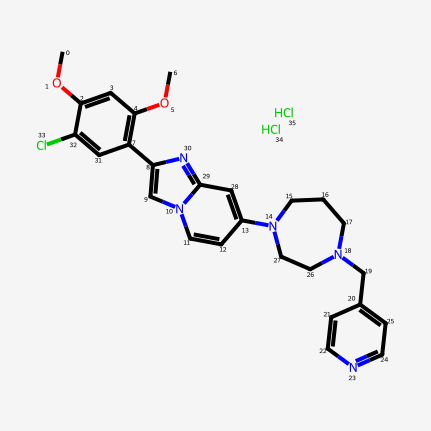 COc1cc(OC)c(-c2cn3ccc(N4CCCN(Cc5ccncc5)CC4)cc3n2)cc1Cl.Cl.Cl